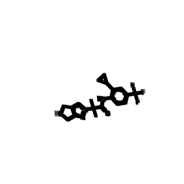 CC(C)(C(=O)Nc1ccc(C(F)(F)F)cc1C1CC1)n1cc2c(n1)CNC2